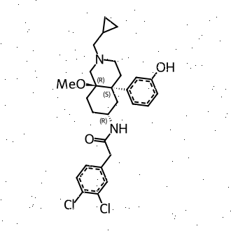 CO[C@]12CC[C@@H](NC(=O)Cc3ccc(Cl)c(Cl)c3)C[C@]1(c1cccc(O)c1)CCN(CC1CC1)C2